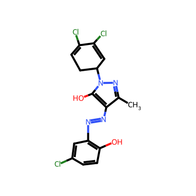 Cc1nn(C2C=C(Cl)C(Cl)=CC2)c(O)c1N=Nc1cc(Cl)ccc1O